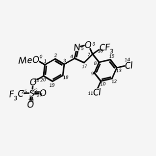 COc1cc(C2=NOC(c3cc(Cl)cc(Cl)c3)(C(F)(F)F)C2)ccc1OS(=O)(=O)C(F)(F)F